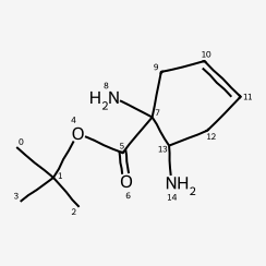 CC(C)(C)OC(=O)C1(N)CC=CCC1N